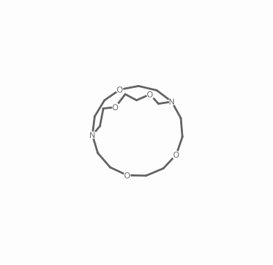 C1COCCN2CCOCCN(CCO1)CCOCCOC2